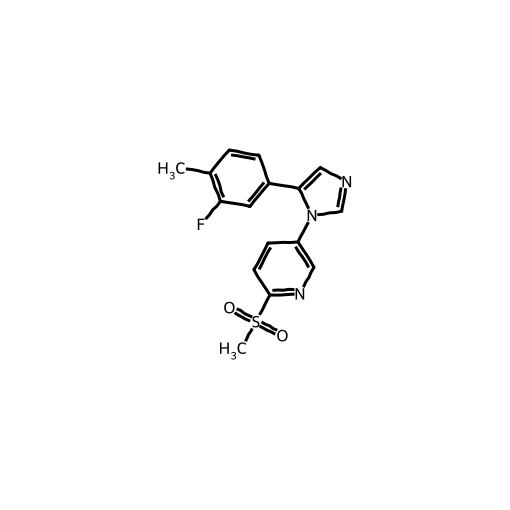 Cc1ccc(-c2cncn2-c2ccc(S(C)(=O)=O)nc2)cc1F